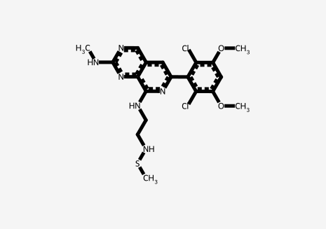 CNc1ncc2cc(-c3c(Cl)c(OC)cc(OC)c3Cl)nc(NCCNSC)c2n1